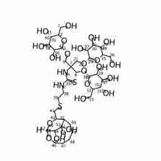 OCC1O[C@H](OCC(CO[C@H]2OC(CO)[C@@H](O)[C@H](O)C2O)(CO[C@H]2OC(CO)[C@@H](O)[C@H](O)C2O)NC(=S)NCCSCC2O[C@@H]3OCCCCCC2[C@H](O)C3O)C(O)[C@@H](O)[C@@H]1O